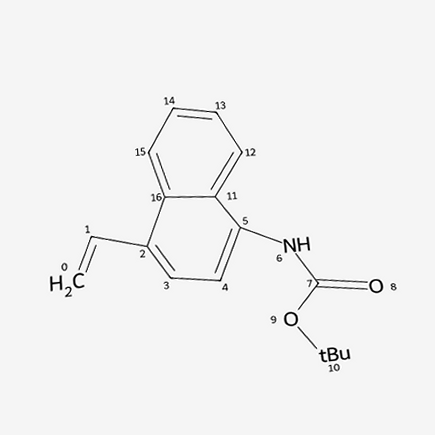 C=Cc1ccc(NC(=O)OC(C)(C)C)c2ccccc12